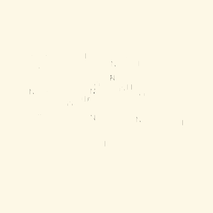 C#Cc1c(F)ccc2cccc(-c3nc4c5c(nc(OCC67CC(=C)CN6CC6(CC6)C7)nc5c3F)N3C[C@H]5CC[C@@H]([C@H]3[C@H](C)O4)N5C(=O)OC(C)(C)C)c12